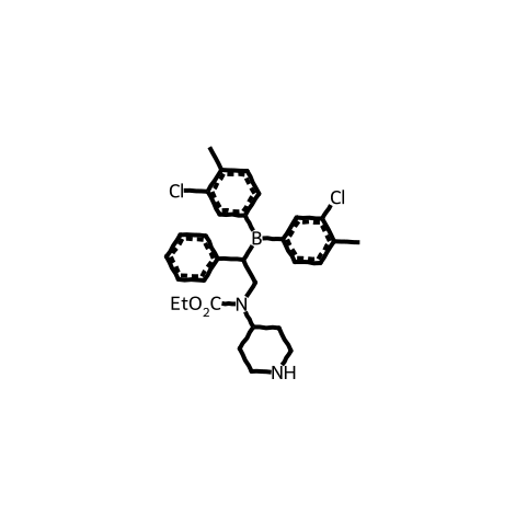 CCOC(=O)N(CC(B(c1ccc(C)c(Cl)c1)c1ccc(C)c(Cl)c1)c1ccccc1)C1CCNCC1